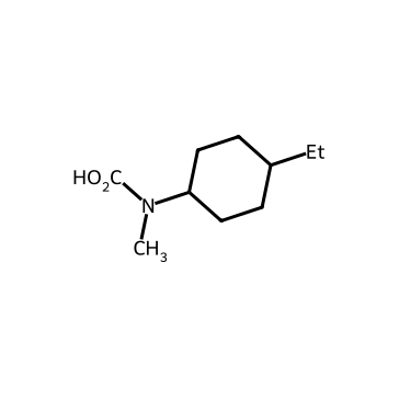 CCC1CCC(N(C)C(=O)O)CC1